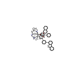 C=C1/C=C\C(c2ccc(-c3ccccc3)cc2)C(C)(c2nc(-c3cccc(-c4cccc5c4sc4ccccc45)c3)nc(-c3ccc4ccccc4c3)n2)/C=C\C=C(/C)S1